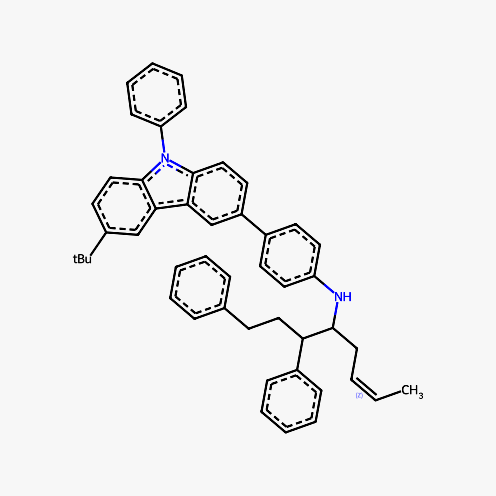 C/C=C\CC(Nc1ccc(-c2ccc3c(c2)c2cc(C(C)(C)C)ccc2n3-c2ccccc2)cc1)C(CCc1ccccc1)c1ccccc1